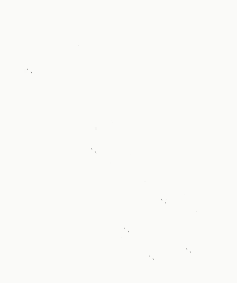 Nc1ncnc2c3c(n(-c4ccc(NC(=O)CCc5c[nH]c6ccccc56)cc4)c12)CCC3